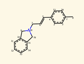 Cc1ccc(C=CCN2Cc3ccccc3C2)cc1